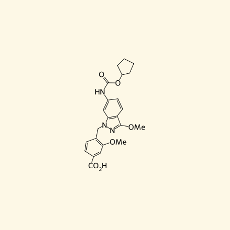 COc1cc(C(=O)O)ccc1Cn1nc(OC)c2ccc(NC(=O)OC3CCCC3)cc21